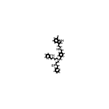 CCN(CCN(CCNCc1ccccn1)Cc1ccc(CNCCc2c[nH]c3c(C)cccc23)cc1)Cc1ccccn1